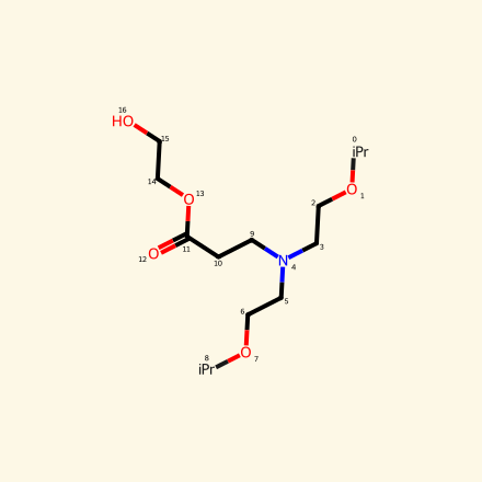 CC(C)OCCN(CCOC(C)C)CCC(=O)OCCO